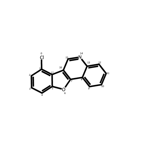 Clc1cccc2oc3c4ccccc4ncc3c12